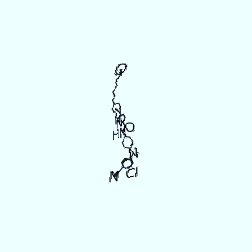 CN(c1ccc(C#N)c(Cl)c1)C1CCC(NC(=O)c2ccc(N3CCC(CCCCCC=O)CC3)nn2)CC1